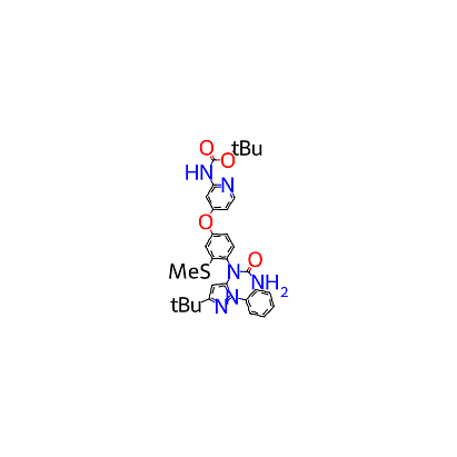 CSc1cc(Oc2ccnc(NC(=O)OC(C)(C)C)c2)ccc1N(C(N)=O)c1cc(C(C)(C)C)nn1-c1ccccc1